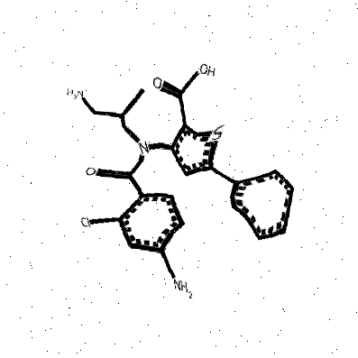 CC(CN)N(C(=O)c1ccc(N)cc1Cl)c1cc(-c2ccccc2)sc1C(=O)O